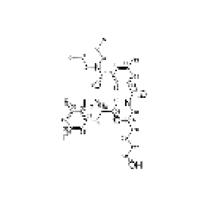 CCCN(CCC)C(=O)c1cc(C)cc(C(=O)N(CCCCCCO)C[C@@H](O)[C@@H](N)Cc2cc(F)cc(F)c2)c1